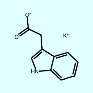 O=C([O-])Cc1c[nH]c2ccccc12.[K+]